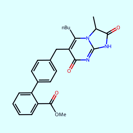 CCCCc1c(Cc2ccc(-c3ccccc3C(=O)OC)cc2)c(=O)nc2n1C(C)C(=O)N2